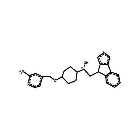 Nc1cc(COC2CCC([C@H](O)CC3c4ccccc4-c4cncn43)CC2)ccn1